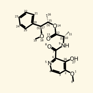 COc1ccnc(C(=O)N[C@@H](C)C(=O)O[C@@H](C)[C@@H](OC)c2ccccc2)c1O